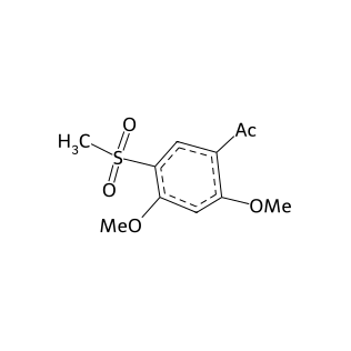 COc1cc(OC)c(S(C)(=O)=O)cc1C(C)=O